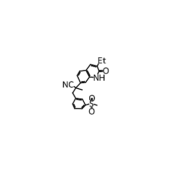 CCc1cc2ccc(C(C)(C#N)Cc3cccc(S(C)(=O)=O)c3)cc2[nH]c1=O